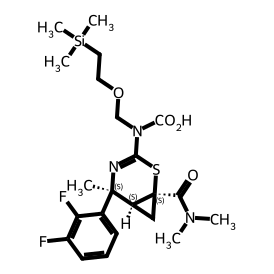 CN(C)C(=O)[C@]12C[C@H]1[C@@](C)(c1cccc(F)c1F)N=C(N(COCC[Si](C)(C)C)C(=O)O)S2